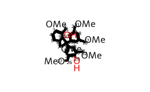 COCC1=CC=CC(COC)C1(O)C(C)(c1cc(COC)cc(COC)c1)c1cc(COC)c(O)c(COC)c1